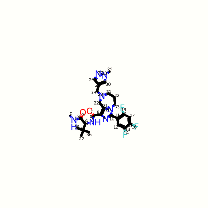 CNC(=O)[C@@H](NC(=O)c1nc(-c2cc(F)c(F)cc2F)n2c1CN(Cc1cnn(C)c1)CCC2)C(C)(C)C